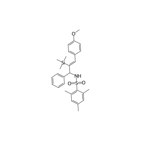 COc1ccc(/C=C(/C(NS(=O)(=O)c2c(C)cc(C)cc2C)c2ccccc2)[Si](C)(C)C)cc1